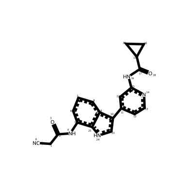 N#CCC(=O)Nc1cccc2c(-c3ccnc(NC(=O)C4CC4)c3)c[nH]c12